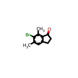 Cc1cc2c(c(C)c1Br)C(=O)CC2